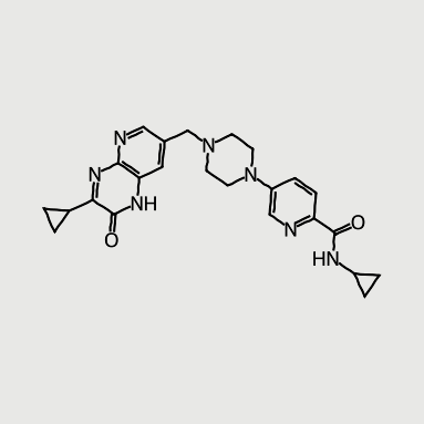 O=C(NC1CC1)c1ccc(N2CCN(Cc3cnc4nc(C5CC5)c(=O)[nH]c4c3)CC2)cn1